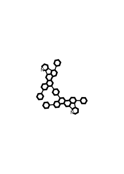 c1ccc(-c2ccc3c(c2)c(-c2ccc(-c4cc5c6ccc(-c7ccccc7)c7c6c(cc5c5ccc(-c6ccccc6)cc45)-c4ncccc4-7)cc2)cc2c4ccc(-c5ccccc5)c5c4c(cc32)-c2ncccc2-5)cc1